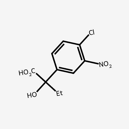 CCC(O)(C(=O)O)c1ccc(Cl)c([N+](=O)[O-])c1